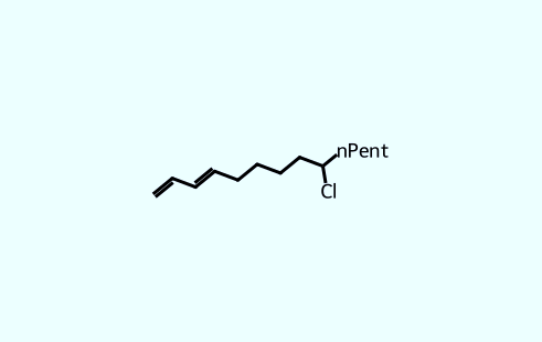 C=CC=CCCCCC(Cl)CCCCC